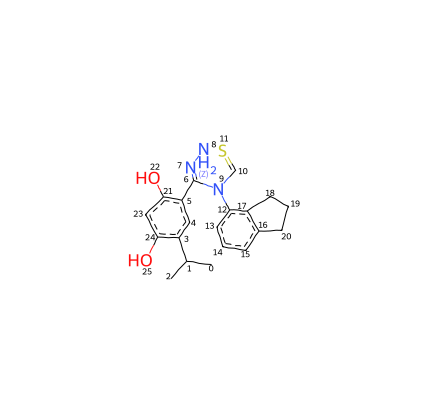 CC(C)c1cc(/C(=N/N)N(C=S)c2cccc3c2CCC3)c(O)cc1O